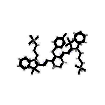 Cc1ccc(OC2=C(/C=C/C3=[N+](CCC[N+](C)(C)C)c4ccccc4C3(C)C)OCO/C2=C\C=C2\N(CCC[N+](C)(C)C)c3ccccc3C2(C)C)cc1